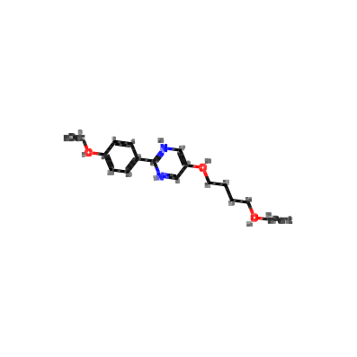 CCCCCCCCCCOc1ccc(-c2ncc(OCCCCOCCCCC)cn2)cc1